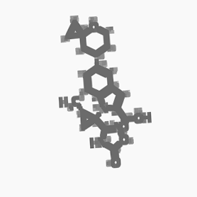 C[C@H]1C[C@@]1(c1noc(=O)[nH]1)n1c(C(=O)O)cc2cc([C@H]3CCOC4(CC4)C3)ccc21